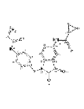 C=CC(=O)Nc1ccc(CN2C(=O)C(=O)c3cc(NC(=O)C4CC4)ccc32)cc1